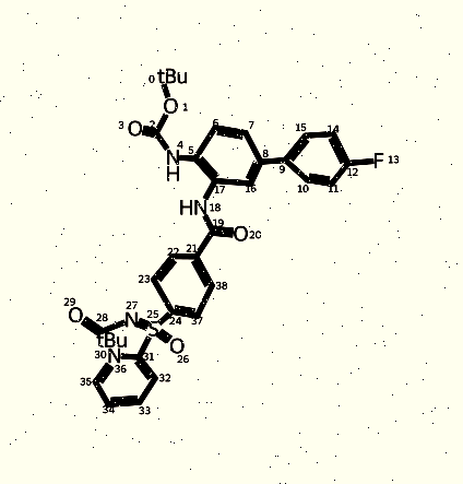 CC(C)(C)OC(=O)Nc1ccc(-c2ccc(F)cc2)cc1NC(=O)c1ccc(S(=O)(=NC(=O)C(C)(C)C)c2ccccn2)cc1